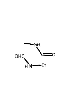 CCNC=O.CNC=O